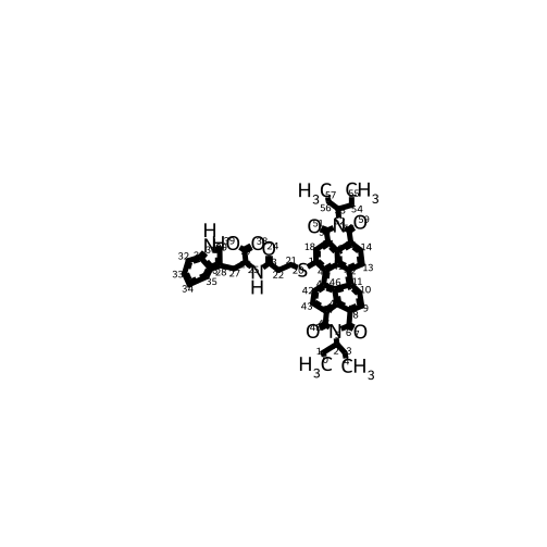 CCC(CC)N1C(=O)c2ccc3c4ccc5c6c(cc(SCCC(=O)NC(Cc7c[nH]c8ccccc78)C(=O)O)c(c7ccc(c2c37)C1=O)c64)C(=O)N(C(CC)CC)C5=O